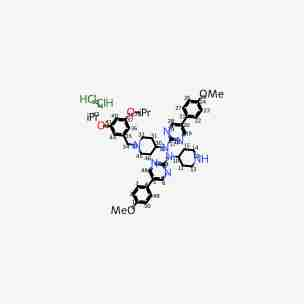 COc1ccc(-c2cnc(N(C3CCNCC3)N(c3ncc(-c4ccc(OC)cc4)cn3)C3CCN(Cc4cc(OC(C)C)cc(OC(C)C)c4)CC3)nc2)cc1.Cl.Cl